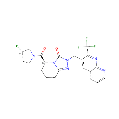 O=C([C@@H]1CCCc2nn(Cc3cc4cccnc4nc3C(F)(F)F)c(=O)n21)N1CC[C@H](F)C1